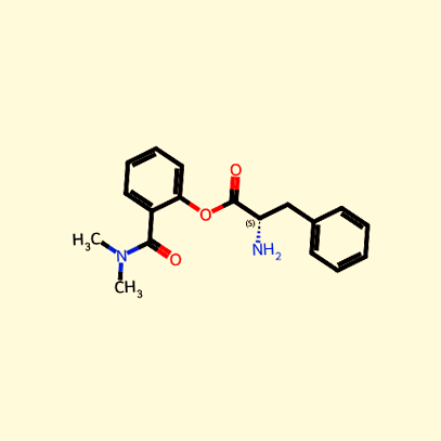 CN(C)C(=O)c1ccccc1OC(=O)[C@@H](N)Cc1ccccc1